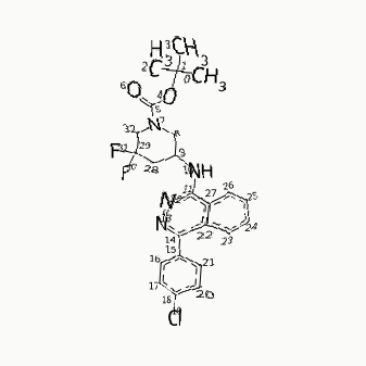 CC(C)(C)OC(=O)N1CC(Nc2nnc(-c3ccc(Cl)cc3)c3ccccc23)CC(F)(F)C1